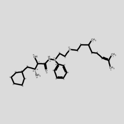 CC(C)=CCCC(C)CCOCCN(NC(=O)C(O)[C@H](N)CC1CCCCC1)c1ccccc1